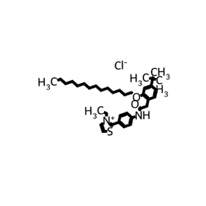 CCCCCCCCCCCCCCOc1cc(C(C)(C)C)ccc1CC(=O)Nc1ccc(-c2scc[n+]2CC)cc1.[Cl-]